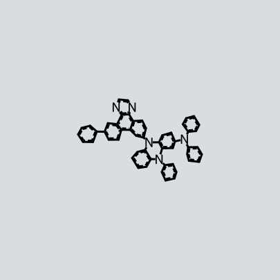 c1ccc(-c2ccc3c4cc(N5c6ccccc6N(c6ccccc6)c6cc(N(c7ccccc7)c7ccccc7)ccc65)ccc4c4nccnc4c3c2)cc1